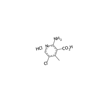 Cc1c(Cl)cnc(N)c1C(=O)O.Cl